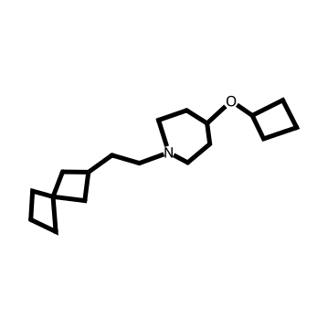 C1CC(OC2CCN(CCC3CC4(CCC4)C3)CC2)C1